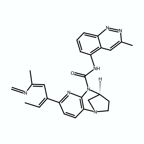 C=N/C(C)=C\C(=C/C)c1ccc2c(n1)N(C(=O)Nc1cccc3nnc(C)cc13)[C@H]1CCN2C1